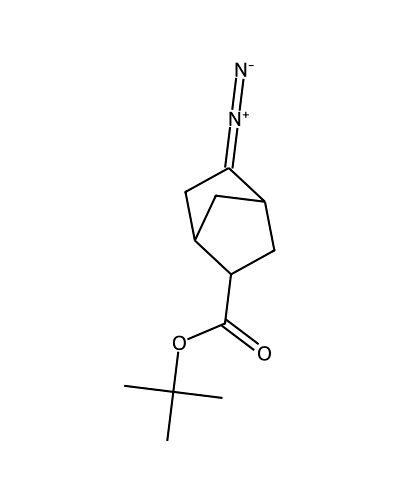 CC(C)(C)OC(=O)C1CC2CC1CC2=[N+]=[N-]